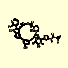 CCn1c(-c2cccnc2C(C)C)c2c3cc(ccc31)-c1cc(O)cc(c1)C[C@H](NC(=O)[C@H](C(C)C)N(C)C(=O)N1CC[C@@H](N(C)C(=O)[C@@H]3CN3)C1)C(=O)N1CCC[C@H](N1)C(=O)OCC(C)(C)C2